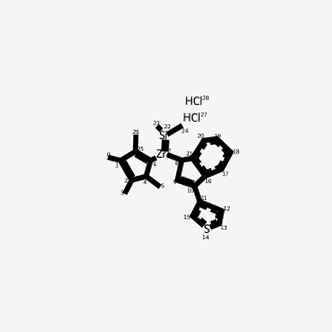 CC1=C(C)C(C)[C]([Zr]([CH]2C=C(c3ccsc3)c3ccccc32)=[Si](C)C)=C1C.Cl.Cl